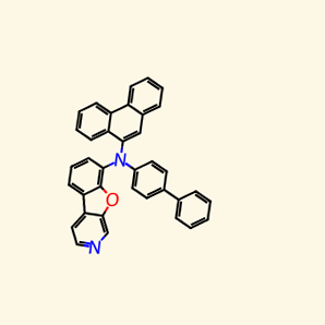 c1ccc(-c2ccc(N(c3cc4ccccc4c4ccccc34)c3cccc4c3oc3cnccc34)cc2)cc1